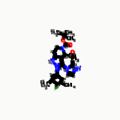 Cc1cc(-n2nc3c(c2N2C=CNC2=C=O)[C@H](C)N(C(=O)OC(C)(C)C)CC3)cc(C)c1F